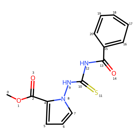 COC(=O)c1cccn1NC(=S)NC(=O)c1ccccc1